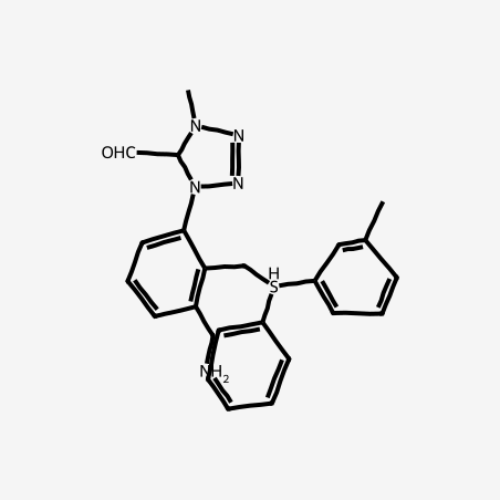 Cc1cccc([SH](Cc2c(CN)cccc2N2N=NN(C)C2C=O)c2ccccc2)c1